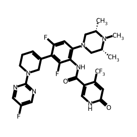 C[C@@H]1CN(c2cc(F)c(C3=CCCN(c4ncc(F)cn4)C3)c(F)c2NC(=O)c2c[nH]c(=O)cc2C(F)(F)F)C[C@H](C)N1C